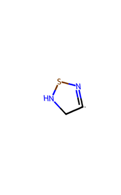 [C]1=NSNC1